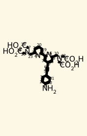 Nc1ccc(C#Cc2cc(CN(CC(=O)O)CC(=O)O)nc(-c3cccc(CN(CC(=O)O)CC(=O)O)n3)c2)cc1